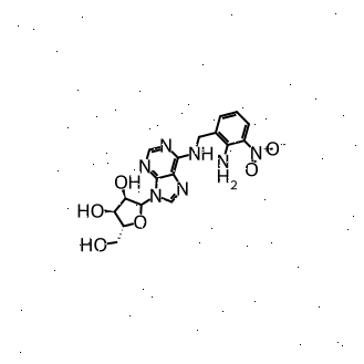 Nc1c(CNc2ncnc3c2ncn3C2O[C@H](CO)[C@@H](O)[C@H]2O)cccc1[N+](=O)[O-]